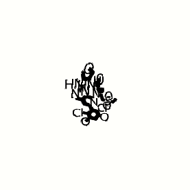 C=CC(=O)N[C@H]1COC[C@H]1Nc1ncc2cc(-c3c(Cl)c(OC)cc(OC)c3Cl)nc(NCCS(=O)(=O)CC)c2n1